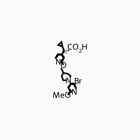 COc1cc(N2CCC(COc3cc([C@@H](CC(=O)O)C4CC4)ccn3)CC2)c(Br)cn1